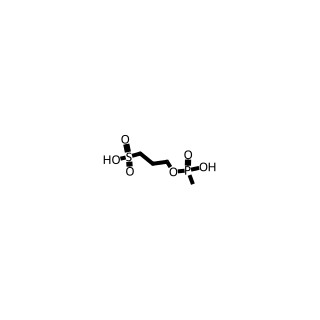 CP(=O)(O)OCCCS(=O)(=O)O